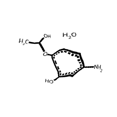 CC(O)Oc1ccc(N)cc1O.O